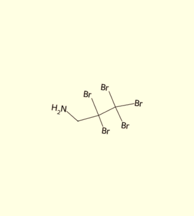 NCC(Br)(Br)C(Br)(Br)Br